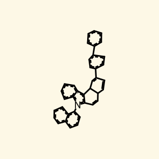 C1=CC2C=Cc3c(c4ccccc4n3-c3cccc4ccccc34)C2C=C1c1ccc(-c2ccccc2)cc1